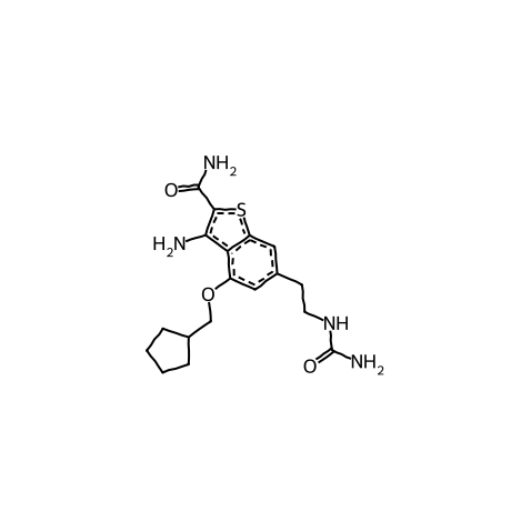 NC(=O)NCCc1cc(OCC2CCCC2)c2c(N)c(C(N)=O)sc2c1